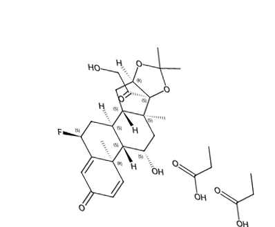 CC1(C)O[C@@H]2C[C@H]3[C@@H]4C[C@H](F)C5=CC(=O)C=C[C@]5(C)[C@H]4[C@@H](O)C[C@]3(C)[C@]2(C(=O)CO)O1.CCC(=O)O.CCC(=O)O